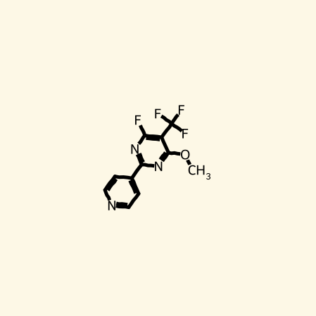 COc1nc(-c2ccncc2)nc(F)c1C(F)(F)F